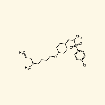 C=CCN(C)CCCCO[C@H]1CC[C@@H](CN(C)S(=O)(=O)c2ccc(Cl)cc2)CC1